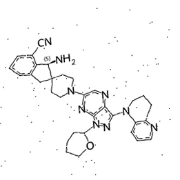 N#Cc1cccc2c1[C@@H](N)C1(CCN(c3cnc4c(N5CCCc6ncccc65)nn(C5CCCCO5)c4n3)CC1)C2